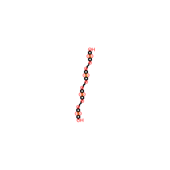 O=S(=O)(c1ccc(OC=CCCOc2ccc(S(=O)(=O)c3ccc(O)cc3)cc2)cc1)c1ccc(OCC=CCOc2ccc(S(=O)(=O)c3ccc(OC=CCCOc4ccc(S(=O)(=O)c5ccc(O)cc5)cc4)cc3)cc2)cc1